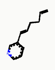 C=CCCC=Cc1cccnc1